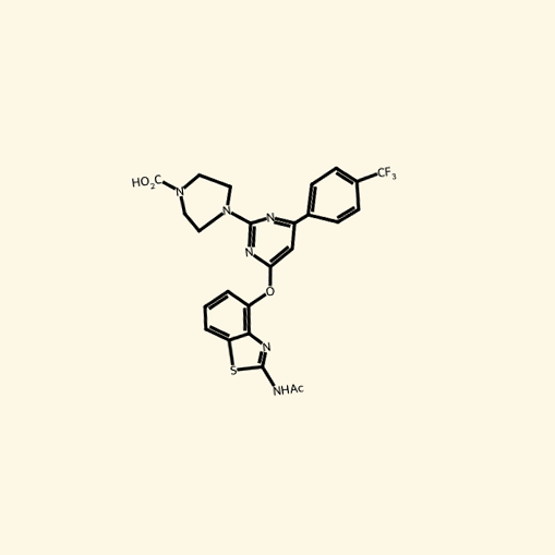 CC(=O)Nc1nc2c(Oc3cc(-c4ccc(C(F)(F)F)cc4)nc(N4CCN(C(=O)O)CC4)n3)cccc2s1